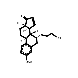 COc1ccc2c(c1)C[C@@H](CCCO)[C@@H]1[C@@H]2CC[C@]2(C)C(=O)C=C[C@@H]12